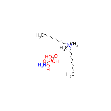 CCCCCCCCCC[N+](C)(C)CCCCCCCCCC.N.O=C(O)O.O=C([O-])O